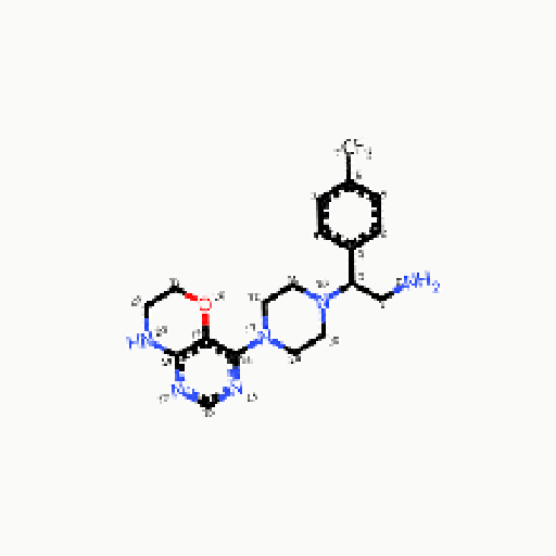 NCC(c1ccc(C(F)(F)F)cc1)N1CCN(c2ncnc3c2OCCN3)CC1